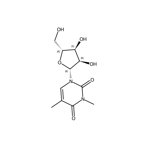 Cc1cn([C@@H]2O[C@H](CO)[C@@H](O)[C@H]2O)c(=O)n(C)c1=O